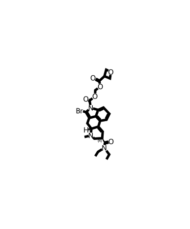 CCN(CC)C(=O)[C@@H]1C=C2c3cccc4c3c(c(Br)n4C(=O)OCOC(=O)C3COC3)C[C@H]2N(C)C1